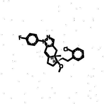 CO[C@@]1(CCc2ccccc2Cl)CCC2=Cc3c(cnn3-c3ccc(F)cc3)C[C@@]21C